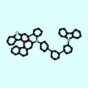 c1cc(-c2ccc(N(c3ccc4c(ccc5ccccc54)c3)c3ccccc3-c3ccc4c(c3)oc3ccccc34)cc2)cc(-c2cccc(-n3c4ccccc4c4ccccc43)c2)c1